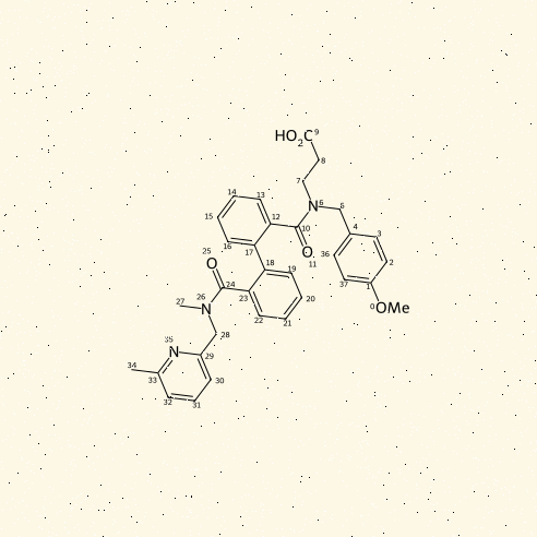 COc1ccc(CN(CCC(=O)O)C(=O)c2ccccc2-c2ccccc2C(=O)N(C)Cc2cccc(C)n2)cc1